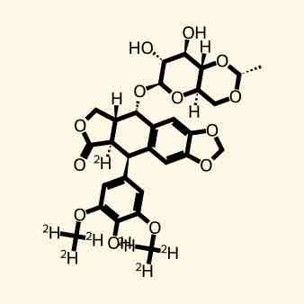 [2H]C([2H])([2H])Oc1cc([C@@H]2c3cc4c(cc3[C@@H](O[C@@H]3O[C@@H]5CO[C@@H](C)O[C@H]5[C@H](O)[C@H]3O)[C@H]3COC(=O)[C@]23[2H])OCO4)cc(OC([2H])([2H])[2H])c1O